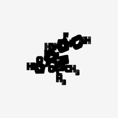 CC(C)C1(N(C=O)c2nc(Nc3ccc(N4CCNCC4)c(F)c3)ncc2C[C@@H]2CCNC2=O)CCC1